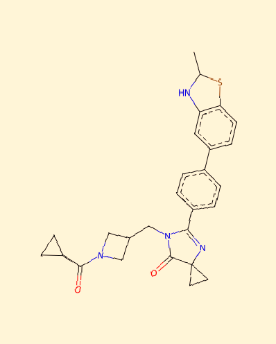 CC1Nc2cc(-c3ccc(C4=NC5(CC5)C(=O)N4CC4CN(C(=O)C5CC5)C4)cc3)ccc2S1